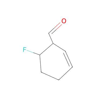 O=CC1C=CCCC1F